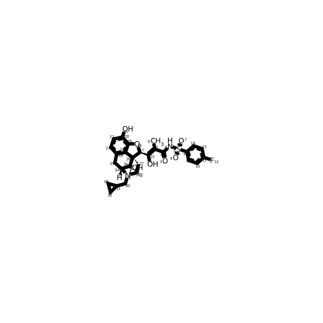 C/C(C(=O)NS(=O)(=O)c1ccc(F)cc1)=C(/O)[C@@H]1Oc2c(O)ccc3c2[C@@]12CCN(CC1CC1)[C@H](C3)[C@@]2(C)O